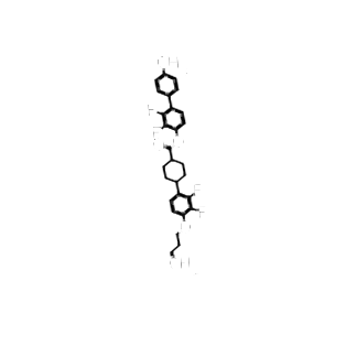 C=CCCOc1ccc(C2CCC(C(=O)Oc3ccc(-c4ccc(C)cc4)c(F)c3F)CC2)c(F)c1F